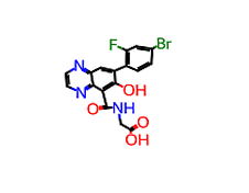 O=C(O)CNC(=O)c1c(O)c(-c2ccc(Br)cc2F)cc2nccnc12